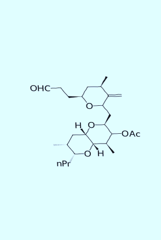 C=C1C(C[C@@H]2O[C@H]3C[C@@H](C)[C@@H](CCC)O[C@H]3[C@H](C)C2OC(C)=O)O[C@@H](CCC=O)C[C@H]1C